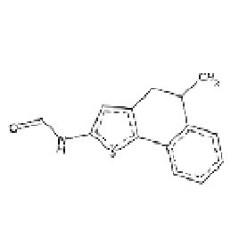 CC1Cc2cc(NC=O)sc2-c2ccccc21